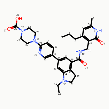 CCCc1cc(C)[nH]c(=O)c1CNC(=O)c1cc(-c2ccc(N3CCN(C(=O)O)CC3)nc2)cc2c1CCN2CC